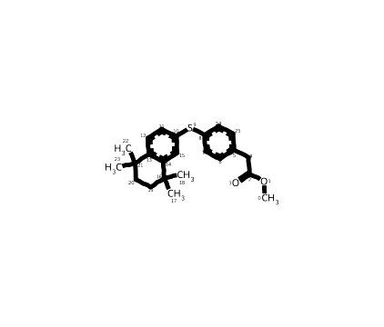 COC(=O)Cc1ccc(Sc2ccc3c(c2)C(C)(C)CCC3(C)C)cc1